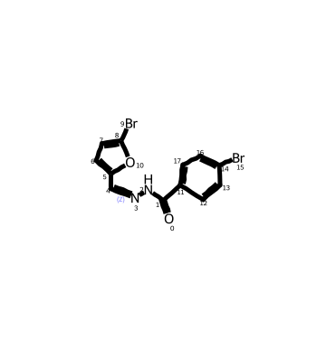 O=C(N/N=C\c1ccc(Br)o1)c1ccc(Br)cc1